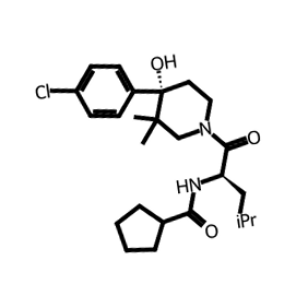 CC(C)C[C@@H](NC(=O)C1CCCC1)C(=O)N1CC[C@](O)(c2ccc(Cl)cc2)C(C)(C)C1